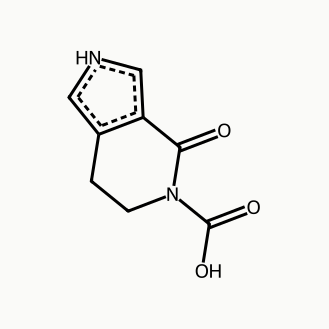 O=C(O)N1CCc2c[nH]cc2C1=O